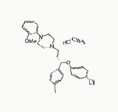 COc1ccccc1N1CCN(CC[C@H](Oc2ccc(C#N)cc2)c2ccc(C)cc2)CC1.Cl.Cl